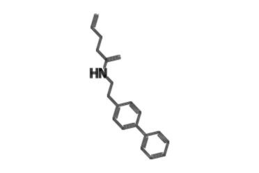 C=CCCC(=C)NCCc1ccc(-c2ccccc2)cc1